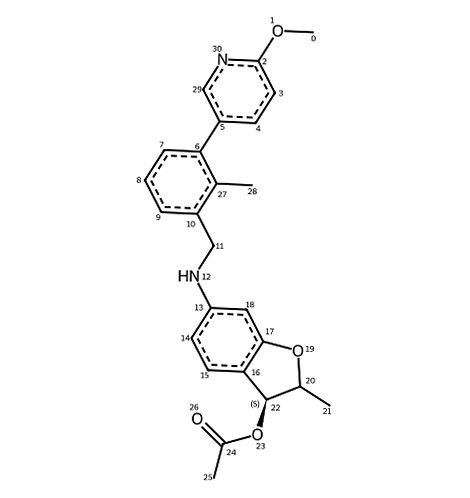 COc1ccc(-c2cccc(CNc3ccc4c(c3)OC(C)[C@H]4OC(C)=O)c2C)cn1